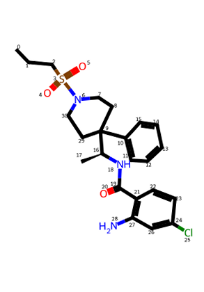 CCCS(=O)(=O)N1CCC(c2ccccc2)([C@H](C)NC(=O)c2ccc(Cl)cc2N)CC1